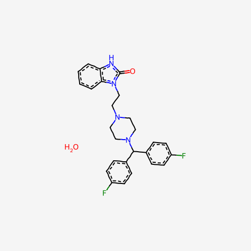 O.O=c1[nH]c2ccccc2n1CCN1CCN(C(c2ccc(F)cc2)c2ccc(F)cc2)CC1